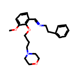 COc1cccc(C=NCCc2ccccc2)c1OCCCN1CCOCC1